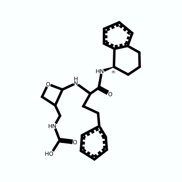 O=C(O)NCC1COC1NC(CCc1ccccc1)C(=O)N[C@@H]1CCCc2ccccc21